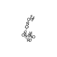 CC(C)(OC1CN(c2ccc(C3CN(C(=O)N4CC[C@@H]5OCC(=O)N[C@@H]5C4)C3)cc2)C1)C(F)(F)F